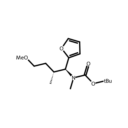 COCC[C@@H](C)[C@@H](c1ccco1)N(C)C(=O)OC(C)(C)C